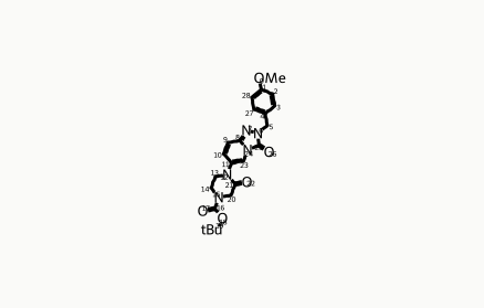 COc1ccc(Cn2nc3ccc(N4CCN(C(=O)OC(C)(C)C)CC4=O)cn3c2=O)cc1